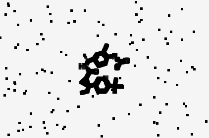 CCC1(c2ccc(C(C)(C)C)nc2)CC1C(=O)N[C@H](C)c1ccc(N=S(=O)=O)c(C)c1